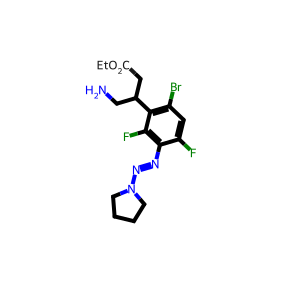 CCOC(=O)CC(CN)c1c(Br)cc(F)c(N=NN2CCCC2)c1F